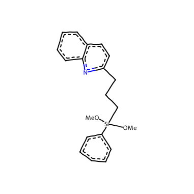 CO[Si](CCCc1ccc2ccccc2n1)(OC)c1ccccc1